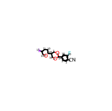 N#Cc1ccc(C2OCC(C3CCC(I)CO3)CO2)cc1F